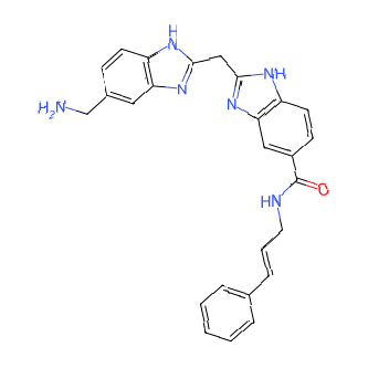 NCc1ccc2[nH]c(Cc3nc4cc(C(=O)NC/C=C/c5ccccc5)ccc4[nH]3)nc2c1